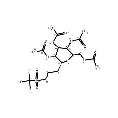 CC(=O)OC[C@H]1O[C@H](CCOS(=O)(=O)C(F)(F)F)[C@H](OC(C)=O)[C@@H](OC(C)=O)[C@H]1OC(C)=O